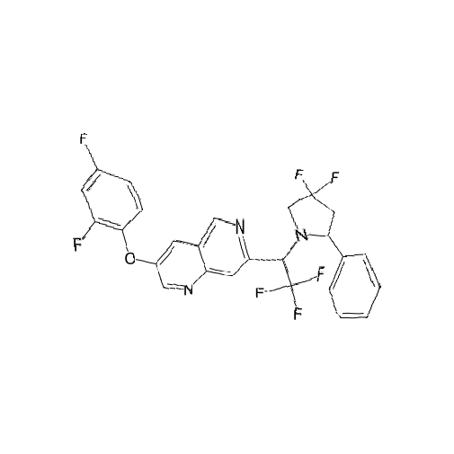 Fc1ccc(Oc2cnc3cc(C(N4CC(F)(F)CC4c4ccccc4)C(F)(F)F)ncc3c2)c(F)c1